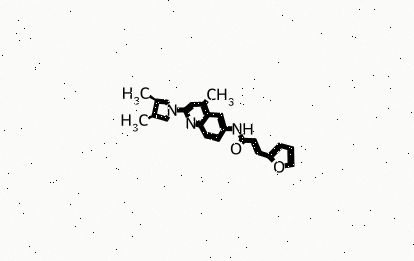 Cc1cc(N2C[C@@H](C)[C@@H](C)C2)nc2ccc(NC(=O)/C=C/c3ccco3)cc12